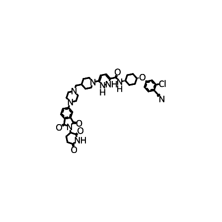 N#Cc1ccc(O[C@H]2CC[C@H](NC(=O)C3=CC=C(N4CCC(CN5CCN(c6ccc7c(c6)C(=O)N(C6CCC(=O)NC6=O)C7=O)CC5)CC4)NN3)CC2)cc1Cl